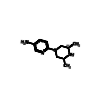 CC1CN(c2ccc(N)cn2)C[C@@H](C)N1